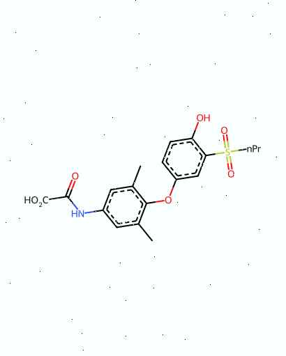 CCCS(=O)(=O)c1cc(Oc2c(C)cc(NC(=O)C(=O)O)cc2C)ccc1O